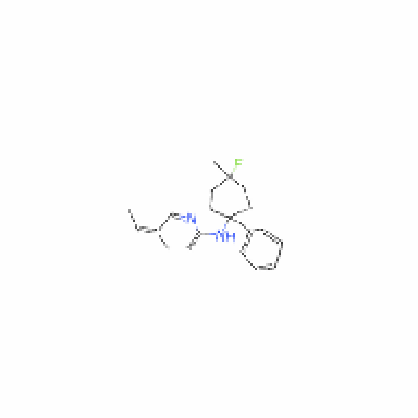 C=C(/N=C\C(C)=C/C)NC1(c2ccccc2)CCC(C)(F)CC1